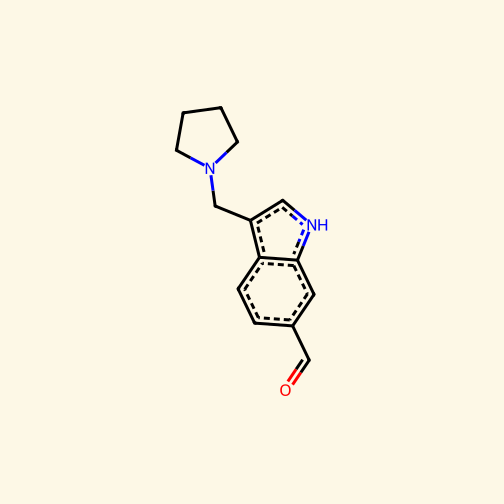 O=Cc1ccc2c(CN3CCCC3)c[nH]c2c1